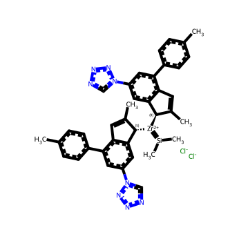 CC1=Cc2c(-c3ccc(C)cc3)cc(-n3cnnn3)cc2[C@@H]1[Zr+2]([C@H]1C(C)=Cc2c(-c3ccc(C)cc3)cc(-n3cnnn3)cc21)=[Si](C)C.[Cl-].[Cl-]